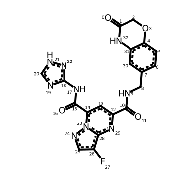 O=C1COc2ccc(CNC(=O)c3cc(C(=O)Nc4nc[nH]n4)n4ncc(F)c4n3)cc2N1